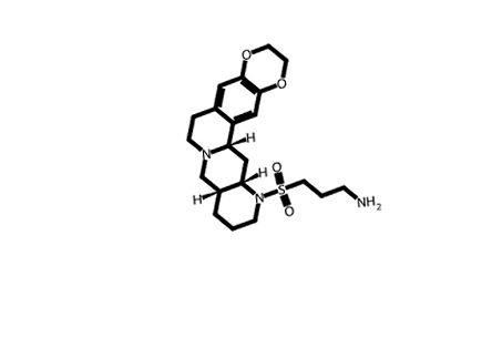 NCCCS(=O)(=O)N1CCC[C@@H]2CN3CCc4cc5c(cc4[C@@H]3C[C@@H]21)OCCO5